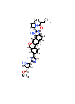 CCCC(=O)N1[C@@H](C)CC[C@H]1c1nc2ccc3cc4c(cc3c2[nH]1)OCc1cc(-c2cnc([C@@H]3C[C@H](COC)CN3)[nH]2)ccc1-4